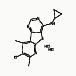 Cc1nc2sc3c(NC4CC4)ncnc3c2c(C)c1Cl.Cl.Cl